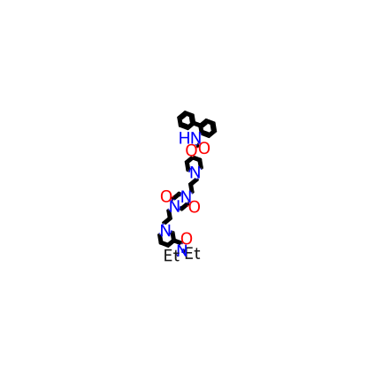 CCN(CC)C(=O)C1CCCN(CCCN2CC(=O)N(CCCN3CCC(OC(=O)Nc4ccccc4-c4ccccc4)CC3)CC2=O)C1